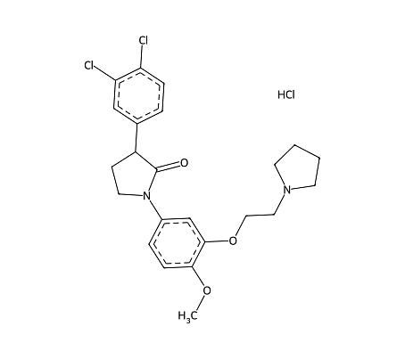 COc1ccc(N2CCC(c3ccc(Cl)c(Cl)c3)C2=O)cc1OCCN1CCCC1.Cl